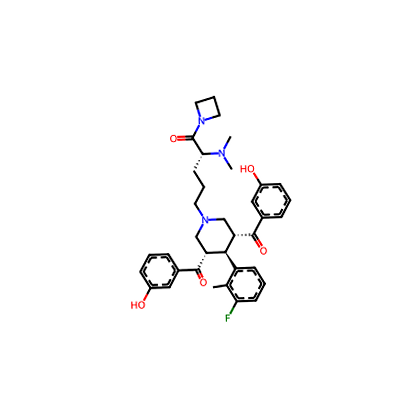 Cc1c(F)cccc1[C@@H]1[C@@H](C(=O)c2cccc(O)c2)CN(CCC[C@H](C(=O)N2CCC2)N(C)C)C[C@H]1C(=O)c1cccc(O)c1